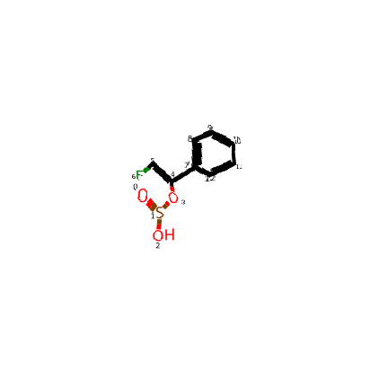 O=S(O)OC(=CF)c1ccccc1